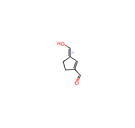 O=CC1=C/C(=C/O)CC1